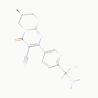 C[C@H]1CSc2nc(-c3ccc(C(C)(C)N(C)C)nc3)c(C#N)c(=O)n2C1